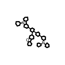 c1ccc(N(c2ccccc2)c2cccc(-c3ccc(-c4ccc(-c5ccc6c(c5)c5ccccc5n6-c5ccccc5)cc4-c4ccc5c(c4)oc4ccccc45)cc3)c2)cc1